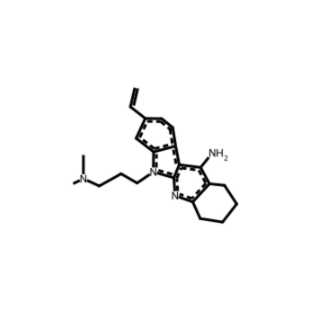 C=Cc1ccc2c3c(N)c4c(nc3n(CCCN(C)C)c2c1)CCCC4